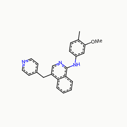 COc1cc(Nc2ncc(Cc3ccncc3)c3ccccc23)ccc1C